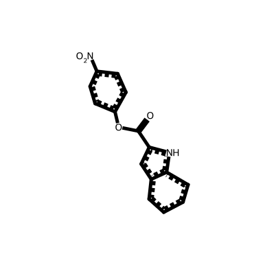 O=C(Oc1ccc([N+](=O)[O-])cc1)c1cc2ccccc2[nH]1